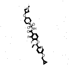 CC[C@@H](Oc1ccc(C(=O)NS(=O)(=O)N2CCC(OC3CN(C)C3)CC2)c(F)c1F)c1ccc(OCC2CC2)cn1